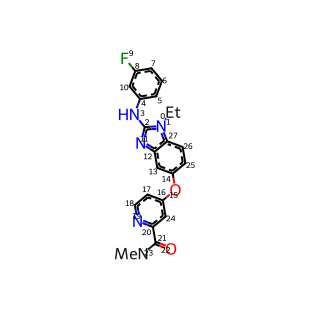 CCn1c(Nc2cccc(F)c2)nc2cc(Oc3ccnc(C(=O)NC)c3)ccc21